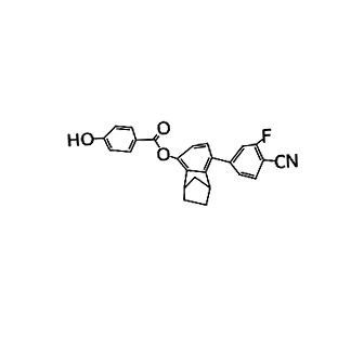 N#Cc1ccc(-c2ccc(OC(=O)c3ccc(O)cc3)c3c2C2CCC3C2)cc1F